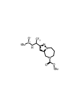 CC(C)(C)OC(=O)N1CCCn2nc(C(N[S+]([O-])C(C)(C)C)C(F)(F)F)cc2C1